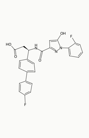 O=C(O)C[C@@H](NC(=O)c1cc(O)n(-c2ccccc2F)n1)c1ccc(-c2ccc(F)cc2)cc1